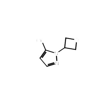 CC(C)c1ccnn1C1COC1